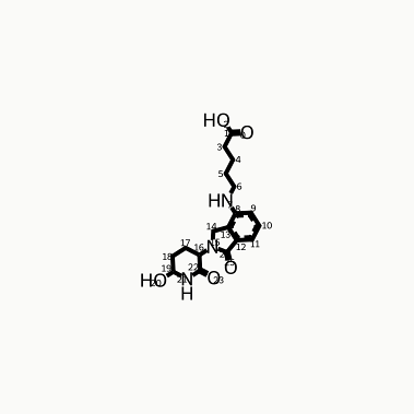 O=C(O)CCCCNc1cccc2c1CN(C1CCC(O)NC1=O)C2=O